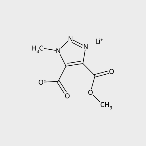 COC(=O)c1nnn(C)c1C(=O)[O-].[Li+]